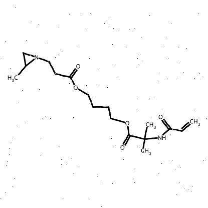 C=CC(=O)NC(C)(C)C(=O)OCCCCOC(=O)CCN1CC1C